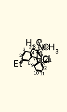 CCc1ccc2c(c1)C(c1ccccc1Cl)N=C(N(C)C)C2.Cl